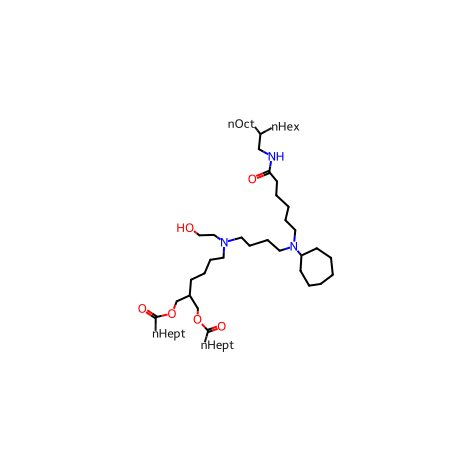 CCCCCCCCC(CCCCCC)CNC(=O)CCCCCN(CCCCN(CCO)CCCCC(COC(=O)CCCCCCC)COC(=O)CCCCCCC)C1CCCCCC1